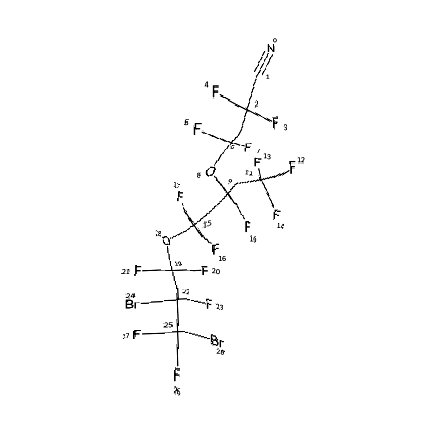 N#CC(F)(F)C(F)(F)OC(F)(C(F)(F)F)C(F)(F)OC(F)(F)C(F)(Br)C(F)(F)Br